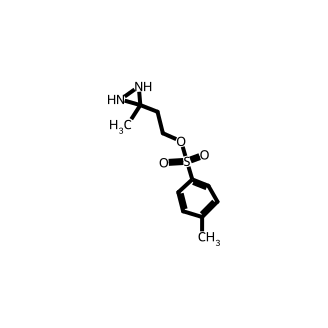 Cc1ccc(S(=O)(=O)OCCC2(C)NN2)cc1